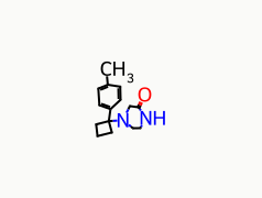 Cc1ccc(C2(N3CCNC(=O)C3)CCC2)cc1